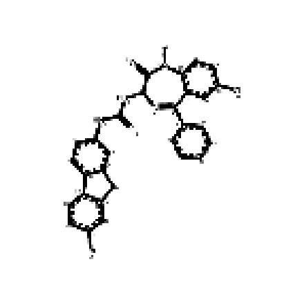 CN1C(=O)C(NC(=S)Nc2ccc3c(c2)Cc2cc(Br)ccc2-3)N=C(c2ccccc2)c2cc(Cl)ccc21